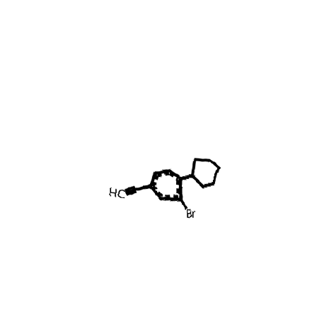 C#Cc1ccc(C2CCCCC2)c(Br)c1